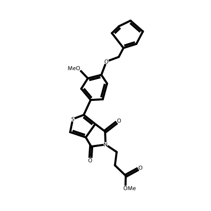 COC(=O)CCN1C(=O)c2csc(-c3ccc(OCc4ccccc4)c(OC)c3)c2C1=O